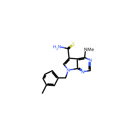 CNc1ncnc2c1c(C(N)=S)cn2Cc1cccc(C)c1